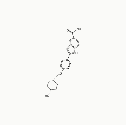 O=C(O)c1ccc2[nH]c(-c3ccc(OC[C@H]4CC[C@@H](O)CC4)cc3)nc2c1